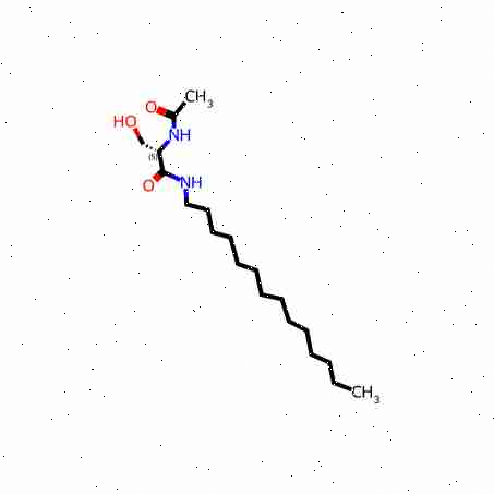 CCCCCCCCCCCCCCNC(=O)[C@H](CO)NC(C)=O